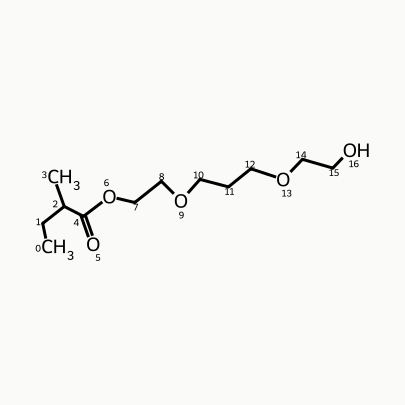 CCC(C)C(=O)OCCOCCCOCCO